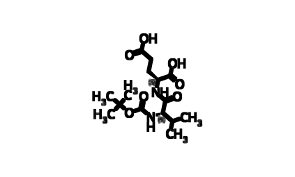 CC(C)[C@H](NC(=O)OC(C)(C)C)C(=O)N[C@@H](CCC(=O)O)C(=O)O